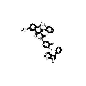 Cc1ccc2c(c1)c(=O)c(C(=O)Nc1ccc(Oc3ncnc4[nH]cc(-c5ccccc5)c34)c(F)c1)c(-c1ccccc1)n2C